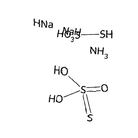 N.O=S(=O)(O)S.O=S(O)(O)=S.[NaH].[NaH]